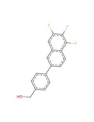 OCc1ccc(-c2ccc3c(F)c(F)c(F)cc3c2)cc1